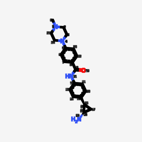 CN1CCN(c2ccc(C(=O)Nc3ccc([C@H]4C[C@@H]4N)cc3)cc2)CC1